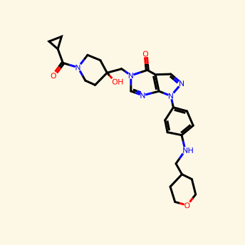 O=C(C1CC1)N1CCC(O)(Cn2cnc3c(cnn3-c3ccc(NCC4CCOCC4)cc3)c2=O)CC1